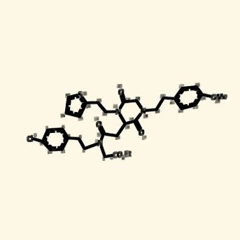 CCOC(=O)CN(CCc1ccc(Cl)cc1)C(=O)CC1C(=O)N(CCc2ccc(OC)cc2)CC(=O)N1CCc1cccs1